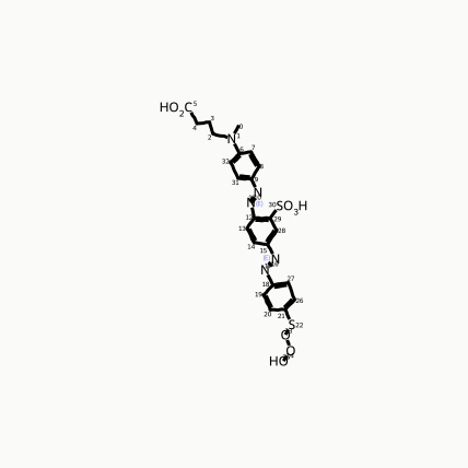 CN(CCCC(=O)O)c1ccc(/N=N/c2ccc(/N=N/c3ccc(SOOO)cc3)cc2S(=O)(=O)O)cc1